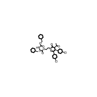 CC(=O)c1c(-c2ccc(Cl)cc2)c(-c2ccc(Cl)cc2)nn(CCOC(=O)[C@H](Cc2ccccc2)NC(=O)OCc2ccccc2)c1=O